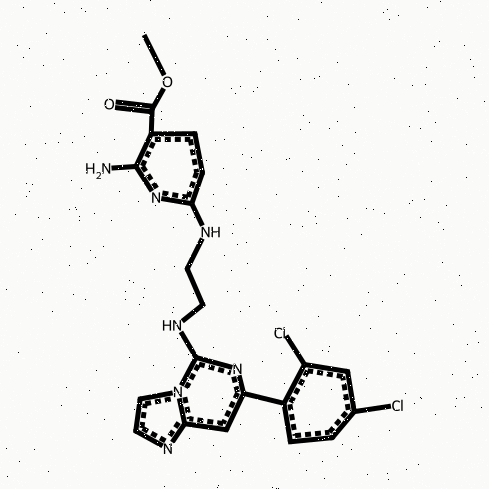 COC(=O)c1ccc(NCCNc2nc(-c3ccc(Cl)cc3Cl)cc3nccn23)nc1N